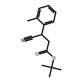 Cc1ccccc1C(C#N)CC(=O)OC(C)(C)C